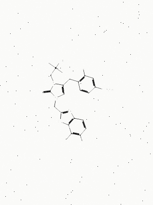 COc1ccc(Cc2cn(Cc3nc4ccc(Cl)c(Cl)c4[nH]3)c(=O)n2CC(C)(C)O)c(Cl)c1